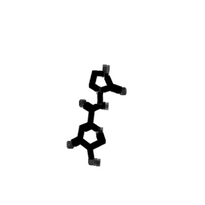 O=C(NN1CCNC1=O)C1=CC(=O)C(O)C=N1